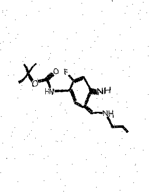 CCCN/C=C1/C=C(NC(=O)OC(C)(C)C)C(F)=CC1=N